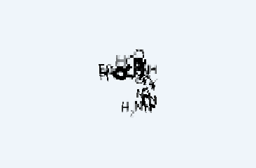 Cc1cc(OC(F)(F)F)ccc1[C@@H](C)N[P@](=O)(CO[C@H](C)Cn1cnc2c(N)ncnc21)NC(C)(C)C(=O)O